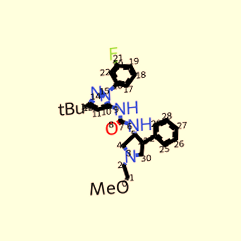 COCCN1CC(NC(=O)Nc2cc(C(C)(C)C)nn2-c2cccc(F)c2)C(c2ccccc2)C1